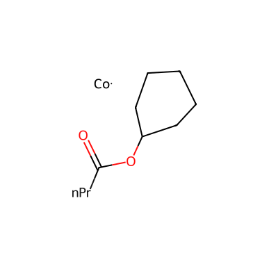 CCCC(=O)OC1CCCCC1.[Co]